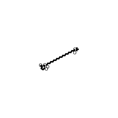 CC(C)(C)OC(=O)CCCCCCCCCCCCCCCCCC(=O)ON1C(=O)CCC1=O